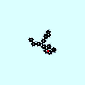 c1ccc(-c2cccc(-c3ccc(N(c4ccc(-c5ccc6c(ccc7ccccc76)c5)cc4)c4ccc(-c5ccccc5-c5ccccc5-n5c6ccccc6c6ccccc65)cc4)cc3)c2)cc1